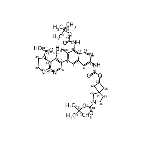 Cc1c(-c2cc3cc(NC(=O)OC4CC5(CCN(C(=O)OC(C)(C)C)C5)C4)ncc3c(NC(=O)OC(C)(C)C)c2F)cnc2c1N(C(=O)O)CCO2